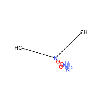 C#CC#CC#CC#CC#CC#CC#CC#CC#CC#CC#CN(C#CC#CC#CC#CC#CC#CC#CC#CC#CC#CC#C)CCOCCOC(=O)C(N)Cc1cnc[nH]1